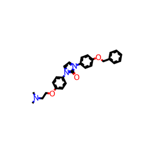 CN(C)CCOc1ccc(-n2ccn(-c3ccc(OCc4ccccc4)cc3)c2=O)cc1